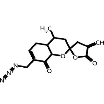 C=C1CC2(CC(C)C3CC=C(CN=[N+]=[N-])C(=O)C3O2)OC1=O